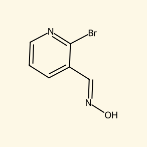 ON=Cc1cccnc1Br